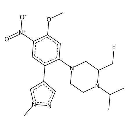 COc1cc(N2CCN(C(C)C)C(CF)C2)c(-c2cnn(C)c2)cc1[N+](=O)[O-]